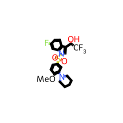 COc1ccc(S(=O)(=O)n2cc(C(O)C(F)(F)F)c3ccc(F)cc32)cc1N1CCCCC1